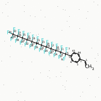 C=Cc1ccc(C(F)(F)C(F)(F)C(F)(F)C(F)(F)C(F)(F)C(F)(F)C(F)(F)C(F)(F)C(F)(F)C(F)(F)C(F)(F)C(F)(F)F)cc1